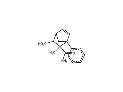 CC1(C(N)=O)C(C(=O)O)C2C=CC1(c1ccccc1)C2